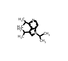 CC(C)c1cn(C(C)C)c2ccnc(C(C)C)c12